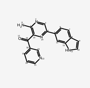 Nc1ncc(-c2ccc3cc[nH]c3c2)nc1C(=O)c1cccnc1